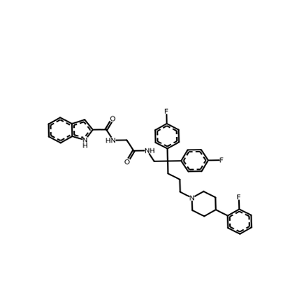 O=C(CNC(=O)c1cc2ccccc2[nH]1)NCC(CCCN1CCC(c2ccccc2F)CC1)(c1ccc(F)cc1)c1ccc(F)cc1